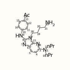 CCCN(CCC)c1ccc2nc(Nc3ccc(C(C)=O)cc3)n(CCCCN)c2n1